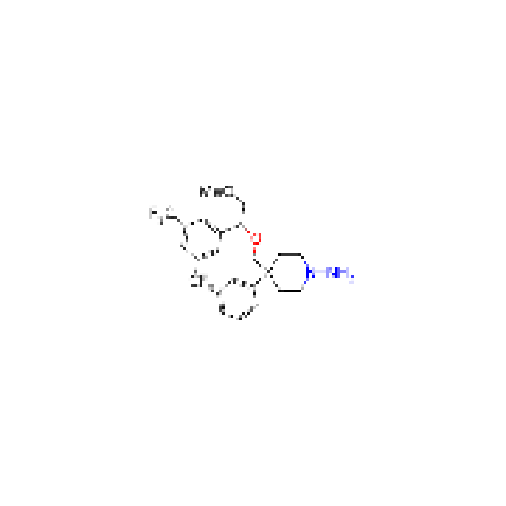 COCC(OCC1(c2ccccc2)CCN(N)CC1)c1cc(C(F)(F)F)cc(C(F)(F)F)c1